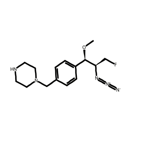 CO[C@H](c1ccc(CN2CCNCC2)cc1)[C@@H](CF)N=[N+]=[N-]